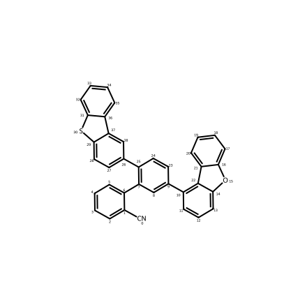 N#Cc1ccccc1-c1cc(-c2cccc3oc4ccccc4c23)ccc1-c1ccc2sc3ccccc3c2c1